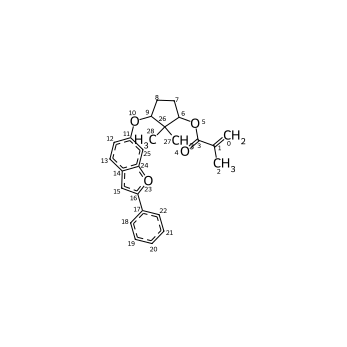 C=C(C)C(=O)OC1CCC(Oc2ccc3cc(-c4ccccc4)oc3c2)C1(C)C